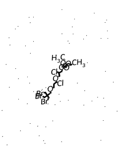 CCOP(=O)(OCC)OCC(Cl)COC(Cl)CCOCC(CBr)(CBr)CBr